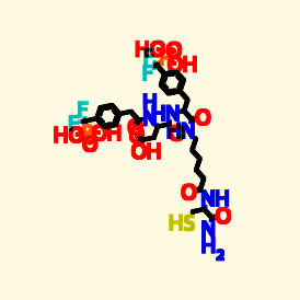 NC(=O)C(CS)NC(=O)CCCCCNC(=O)C(Cc1ccc(C(F)(F)P(=O)(O)O)cc1)NC(=O)C(CC(=O)O)NC(=O)Cc1ccc(C(F)(F)P(=O)(O)O)cc1